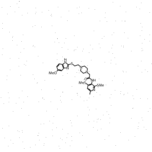 COc1ccc2[nH]c(SCCN3CCN(CC(=O)Nc4c(SC)cc(C)nc4SC)CC3)nc2c1